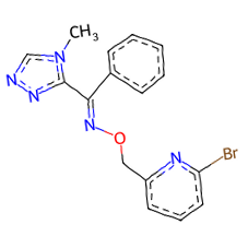 Cn1cnnc1/C(=N/OCc1cccc(Br)n1)c1ccccc1